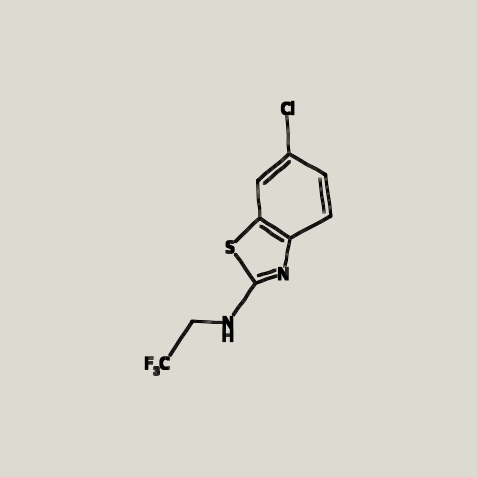 FC(F)(F)CNc1nc2ccc(Cl)cc2s1